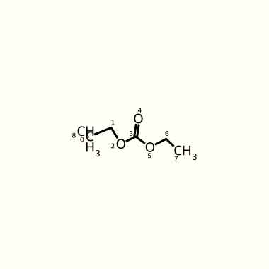 CCOC(=O)OCC.[CH]